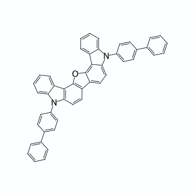 c1ccc(-c2ccc(-n3c4ccccc4c4c5oc6c(ccc7c6c6ccccc6n7-c6ccc(-c7ccccc7)cc6)c5ccc43)cc2)cc1